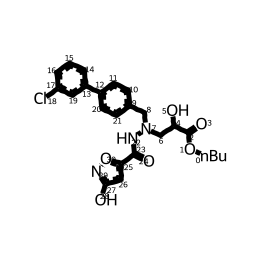 CCCCOC(=O)C(O)CN(Cc1ccc(-c2cccc(Cl)c2)cc1)NC(=O)c1cc(O)no1